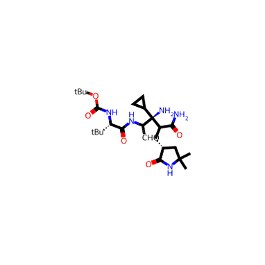 CC1(C)C[C@@H](CC(C(N)=O)[C@@](N)(C2CC2)C(C=O)NC(=O)[C@@H](NC(=O)OC(C)(C)C)C(C)(C)C)C(=O)N1